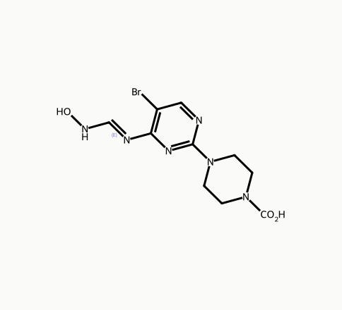 O=C(O)N1CCN(c2ncc(Br)c(/N=C/NO)n2)CC1